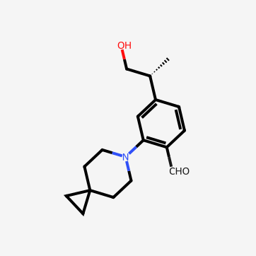 C[C@@H](CO)c1ccc(C=O)c(N2CCC3(CC2)CC3)c1